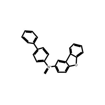 C=[N+](c1ccc(-c2ccccc2)cc1)c1ccc2oc3ccccc3c2c1